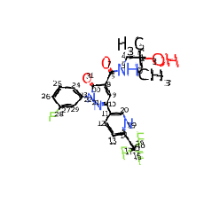 CC(C)(O)CNC(=O)c1cc(-c2ccc(C(F)(F)F)nc2)nn(-c2cccc(F)c2)c1=O